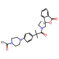 CCC(=O)N1CCN(c2ccc(C(C)(C)C(=O)N3CC[C@@]4(C3)OC(=O)c3ccccc34)cc2)CC1